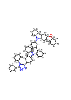 c1ccc(-c2nnc(-c3ccc4c(c3)c3ccccc3n4-c3ccccc3-c3cccc(-n4c5ccccc5c5cc6oc7ccccc7c6cc54)c3)n2-c2ccccc2)cc1